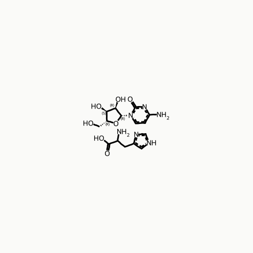 NC(Cc1c[nH]cn1)C(=O)O.Nc1ccn([C@@H]2O[C@H](CO)[C@@H](O)[C@H]2O)c(=O)n1